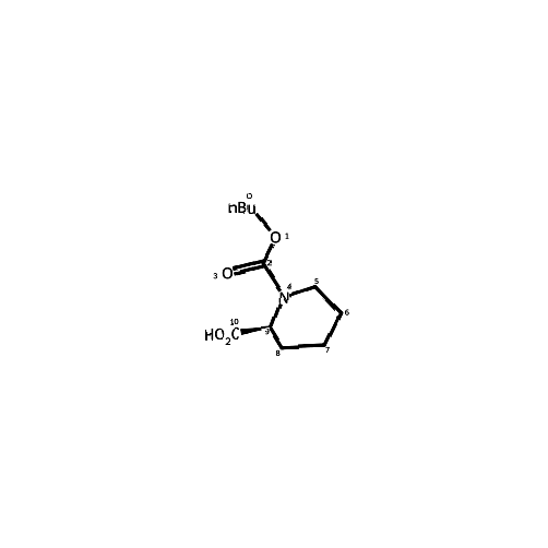 CCCCOC(=O)N1CCCC[C@H]1C(=O)O